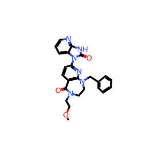 COCCN1CCN(Cc2ccccc2)c2nc(-n3c(=O)[nH]c4ncccc43)ccc2C1=O